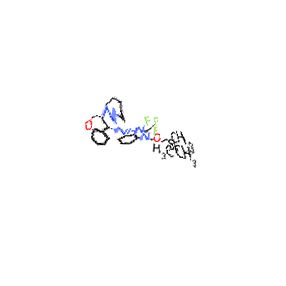 C[Si](C)(C)CCOCn1c(C(F)(F)F)nc2c(N[C@H]3c4ccccc4OC[C@@H]3N3CCCC3)cccc21